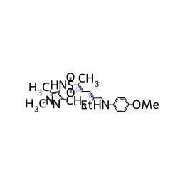 CC/C(=C\C=C(/C)S(=O)(=O)Nc1c(C)nn(C)c1C)CNc1ccc(OC)cc1